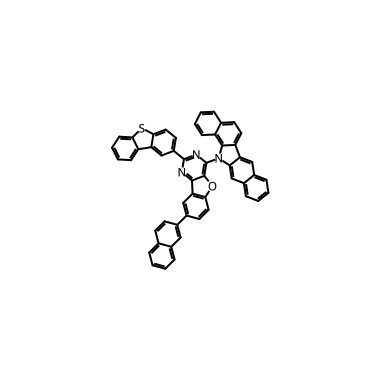 c1ccc2cc(-c3ccc4oc5c(-n6c7cc8ccccc8cc7c7ccc8ccccc8c76)nc(-c6ccc7sc8ccccc8c7c6)nc5c4c3)ccc2c1